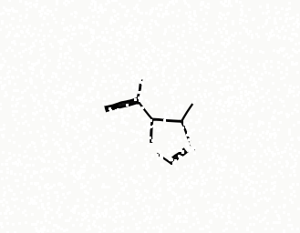 C=C(CCCC)C1OC=NC1C